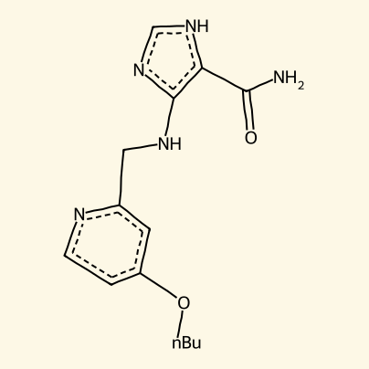 CCCCOc1ccnc(CNc2nc[nH]c2C(N)=O)c1